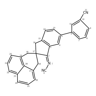 N#C/N=C1/c2cc(-c3cccc(C#N)c3)ccc2CC12Cc1cccc3cccc(c13)C2